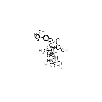 Cc1ncsc1-c1ccc(CNC(=O)C2CC(O)CN2C(=O)C(NC(=O)NNC(C)(C)C)C(C)(C)C)cc1